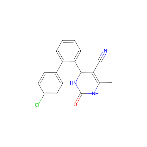 CC1=C(C#N)C(c2ccccc2-c2ccc(Cl)cc2)NC(=O)N1